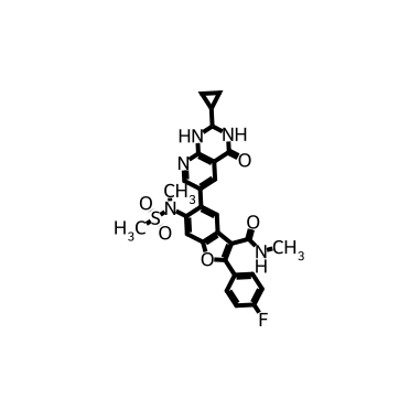 CNC(=O)c1c(-c2ccc(F)cc2)oc2cc(N(C)S(C)(=O)=O)c(-c3cnc4c(c3)C(=O)NC(C3CC3)N4)cc12